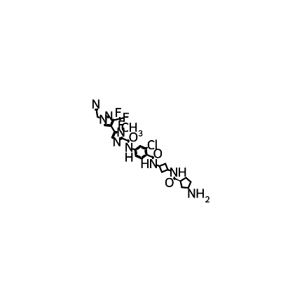 Cn1c(-c2cn(CC#N)nc2C(F)(F)F)cnc1C(=O)Nc1ccc(C(=O)NC2CC(NC(=O)[C@H]3CC[C@@H](N)C3)C2)c(Cl)c1